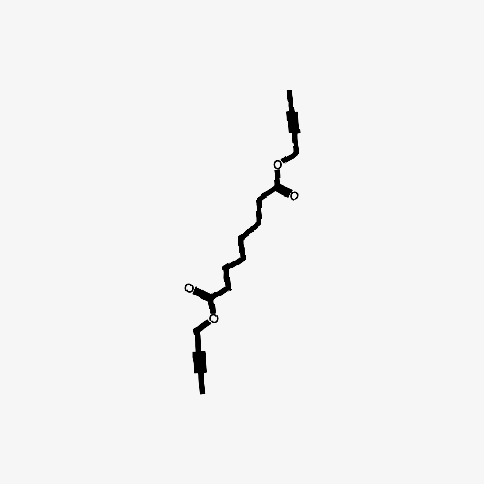 CC#CCOC(=O)CCCCCCC(=O)OCC#CC